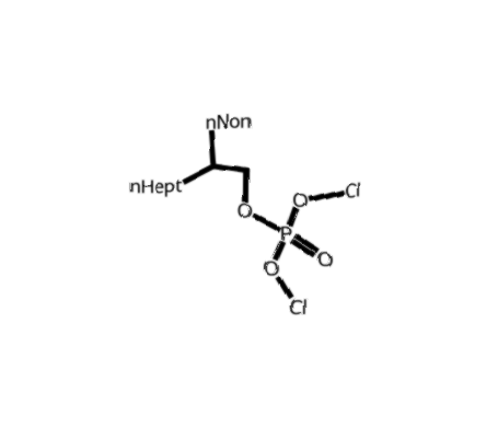 CCCCCCCCCC(CCCCCCC)COP(=O)(OCl)OCl